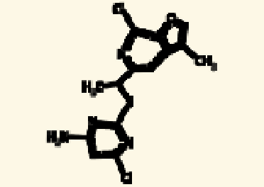 Cc1coc2c(Cl)nc(C(C)Sc3nc(N)cc(Cl)n3)cc12